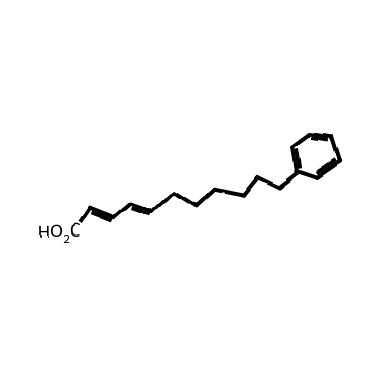 O=C(O)/C=C/C=C/CCCCCCc1ccccc1